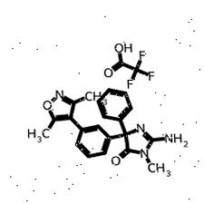 Cc1noc(C)c1-c1cccc(C2(c3ccccc3)N=C(N)N(C)C2=O)c1.O=C(O)C(F)(F)F